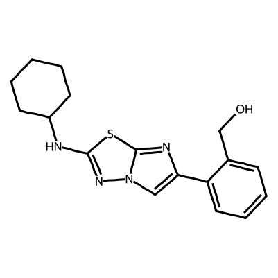 OCc1ccccc1-c1cn2nc(NC3CCCCC3)sc2n1